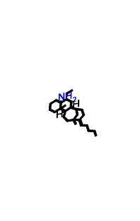 CCCC/C=C1\CCC2CC1(C)CC[C@H]1[C@H]2C[C@H](CC)C2(N)CCCCC12C